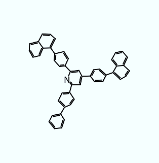 c1ccc(-c2ccc(-c3cc(-c4ccc(-c5cccc6ccccc56)cc4)cc(-c4ccc(-c5cccc6ccccc56)cc4)n3)cc2)cc1